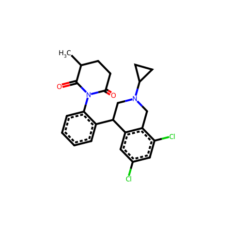 CC1CCC(=O)N(c2ccccc2C2CN(C3CC3)Cc3c(Cl)cc(Cl)cc32)C1=O